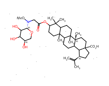 C=C(C)[C@@H]1CCC2(C(=O)O)CC[C@]3(C)C(CCC4C5(C)CCC(OC(=O)CN(OC)[C@@H]6OC[C@@H](O)C(O)C6O)C(C)(C)C5CCC43C)C12